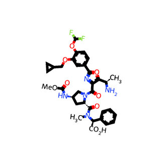 COC(=O)N[C@@H]1C[C@@H](C(=O)N(C)[C@H](C(=O)O)c2ccccc2)N(C(=O)c2nc(-c3ccc(OC(F)F)c(OCC4CC4)c3)oc2[C@H](C)N)C1